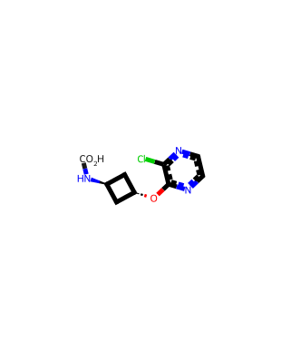 O=C(O)N[C@H]1C[C@H](Oc2nccnc2Cl)C1